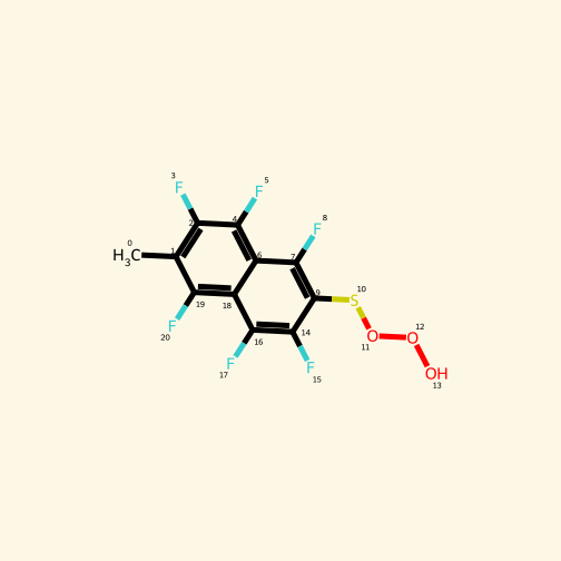 Cc1c(F)c(F)c2c(F)c(SOOO)c(F)c(F)c2c1F